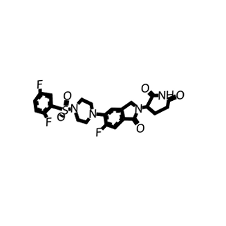 O=C1CCC(N2Cc3cc(N4CCN(S(=O)(=O)c5cc(F)ccc5F)CC4)c(F)cc3C2=O)C(=O)N1